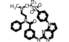 CN(C)CCN(C(=O)c1cccc(Nc2ncc3ccn(-c4ccc(S(C)(=O)=O)cc4)c3n2)c1)c1ccccc1